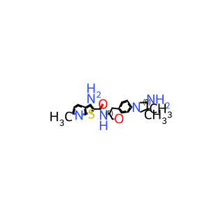 Cc1ccc2c(N)c(C(=O)N[C@H]3COc4cc(N5C[C@H](N)C(C)(C)C5)ccc4C3)sc2n1